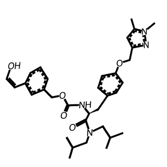 Cc1cc(COc2ccc(C[C@H](NC(=O)OCc3cccc(/C=C\O)c3)C(=O)N(CC(C)C)CC(C)C)cc2)nn1C